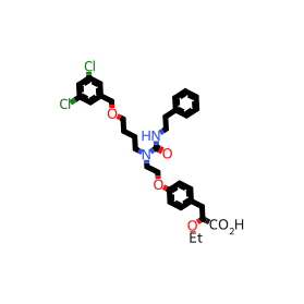 CCOC(Cc1ccc(OCCN(CCCCOCc2cc(Cl)cc(Cl)c2)C(=O)NCCc2ccccc2)cc1)C(=O)O